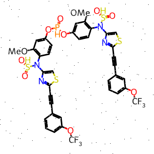 COc1cc(O[PH](=O)Oc2ccc(N(c3csc(C#Cc4cccc(OC(F)(F)F)c4)n3)[SH](=O)=O)c(OC)c2)ccc1N(c1csc(C#Cc2cccc(OC(F)(F)F)c2)n1)[SH](=O)=O